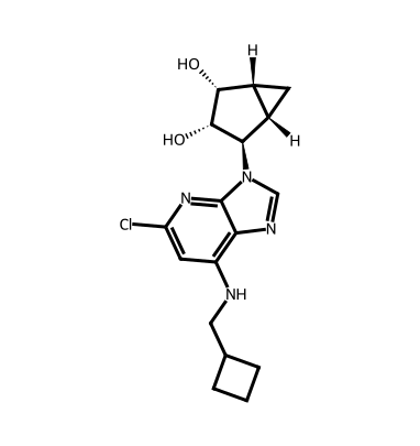 O[C@@H]1[C@H](O)[C@@H]2C[C@@H]2[C@H]1n1cnc2c(NCC3CCC3)cc(Cl)nc21